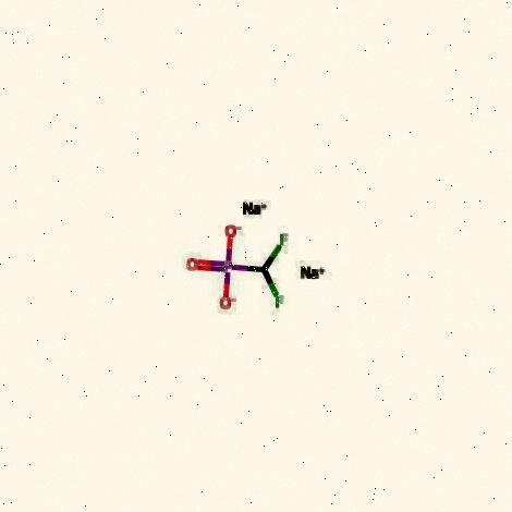 O=P([O-])([O-])C(F)F.[Na+].[Na+]